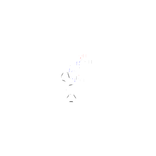 CB(O)N1CCN(c2cccc3c(Cc4ccccc4)cn(B(C)O)c23)CC1